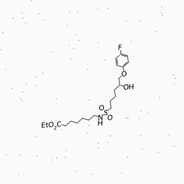 CCOC(=O)CCCCCCNS(=O)(=O)CCCCC(O)COc1ccc(F)cc1